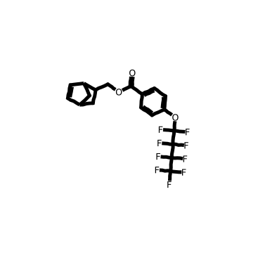 O=C(OCC1CC2C=CC1C2)c1ccc(OC(F)(F)C(F)(F)C(F)(F)C(F)(F)F)cc1